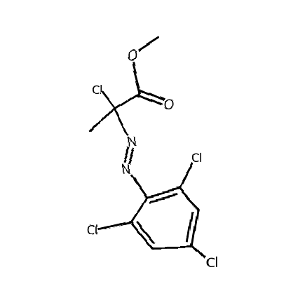 COC(=O)C(C)(Cl)/N=N/c1c(Cl)cc(Cl)cc1Cl